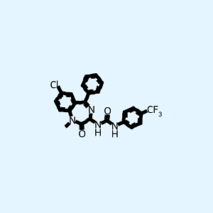 CN1C(=O)C(NC(=O)Nc2ccc(C(F)(F)F)cc2)N=C(c2ccccc2)c2cc(Cl)ccc21